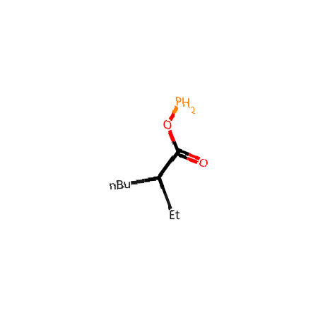 CCCCC(CC)C(=O)OP